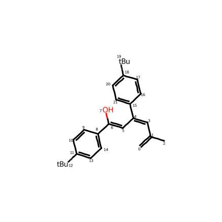 C=C(C)/C=C(\C=C(/O)c1ccc(C(C)(C)C)cc1)c1ccc(C(C)(C)C)cc1